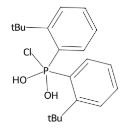 CC(C)(C)c1ccccc1P(O)(O)(Cl)c1ccccc1C(C)(C)C